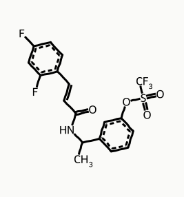 CC(NC(=O)C=Cc1ccc(F)cc1F)c1cccc(OS(=O)(=O)C(F)(F)F)c1